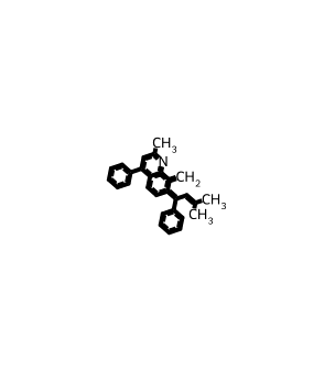 C=c1/c(=C(\C=C(C)C)c2ccccc2)ccc2c(-c3ccccc3)cc(C)nc12